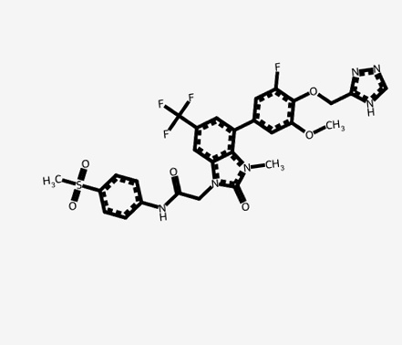 COc1cc(-c2cc(C(F)(F)F)cc3c2n(C)c(=O)n3CC(=O)Nc2ccc(S(C)(=O)=O)cc2)cc(F)c1OCc1nnc[nH]1